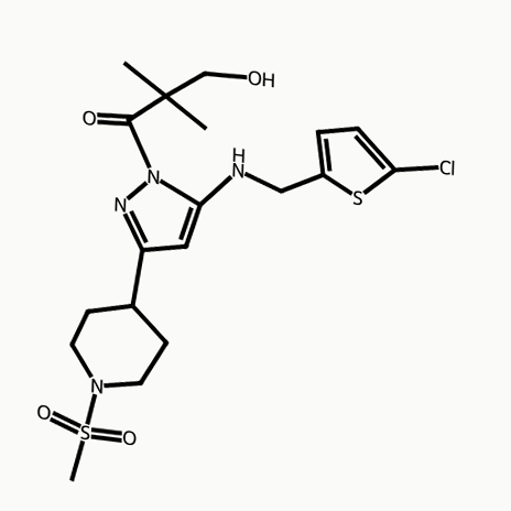 CC(C)(CO)C(=O)n1nc(C2CCN(S(C)(=O)=O)CC2)cc1NCc1ccc(Cl)s1